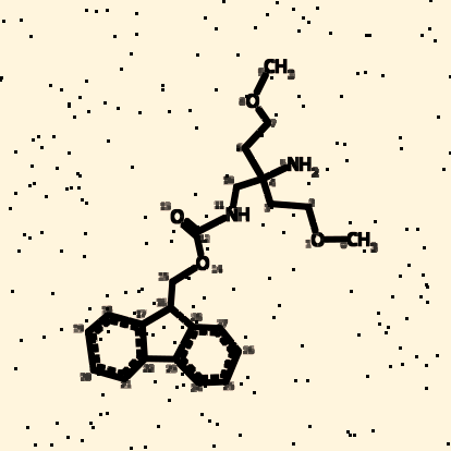 COCCC(N)(CCOC)CNC(=O)OCC1c2ccccc2-c2ccccc21